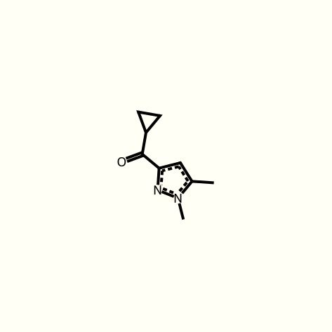 Cc1cc(C(=O)C2CC2)nn1C